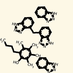 CCCCc1c(C)c(C)c(C)c(C)c1O.c1cc(Cc2cccc3[nH]nnc23)c2nn[nH]c2c1.c1ccc2[nH]nnc2c1.c1ccc2[nH]nnc2c1